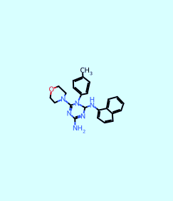 Cc1ccc(N2C(N3CCOCC3)=NC(N)=NC2Nc2cccc3ccccc23)cc1